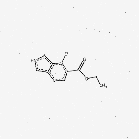 CCOC(=O)c1cnc2c[nH]nc2c1Cl